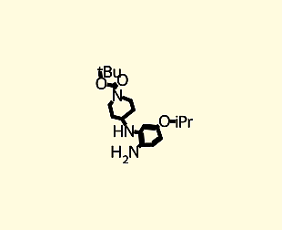 CC(C)Oc1ccc(N)c(NC2CCN(C(=O)OC(C)(C)C)CC2)c1